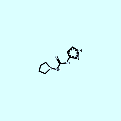 O=C(Nc1cc[nH]n1)NN1CCCC1